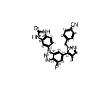 Cc1cnn(Cc2ccc(C#N)cc2)c1-c1cc(F)c2nnn(-c3ccc4[nH]c(=O)[nH]c4c3)c2c1